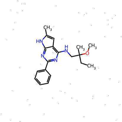 CCC(C)(CNc1nc(-c2ccccc2)nc2[nH]c(C)cc12)OC